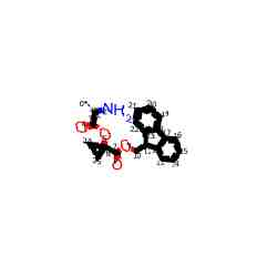 C[C@H](N)C(=O)OC1(C(=O)OCC2c3ccccc3-c3ccccc32)CC1